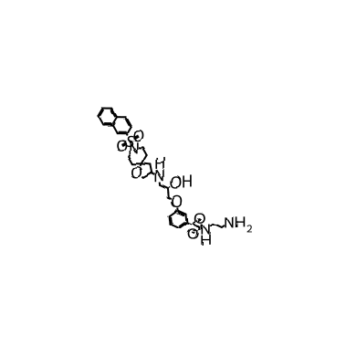 NCCNS(=O)(=O)c1cccc(OC[C@@H](O)CNC2COC3(CCN(S(=O)(=O)c4ccc5ccccc5c4)CC3)C2)c1